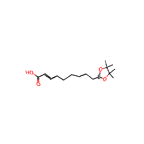 CC1(C)OB(CCCCCCC=CC(=O)O)OC1(C)C